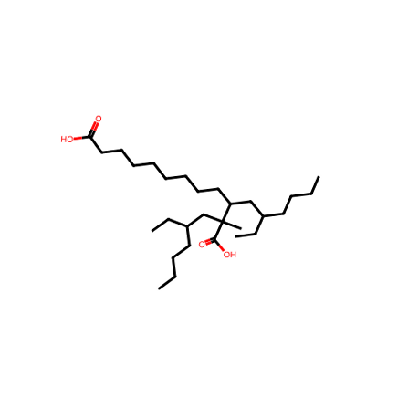 CCCCC(CC)CC(CCCCCCCCC(=O)O)C(C)(CC(CC)CCCC)C(=O)O